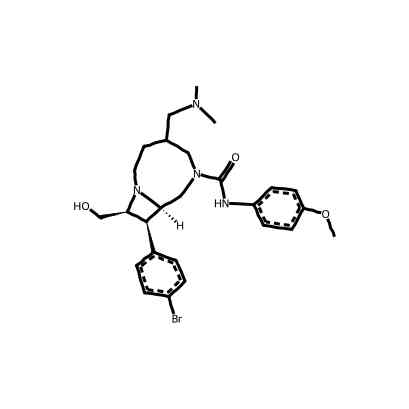 COc1ccc(NC(=O)N2CC(CN(C)C)CCN3[C@H](CO)[C@H](c4ccc(Br)cc4)[C@@H]3C2)cc1